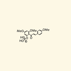 COc1ccc(C=CC(=O)c2c(OC)cc(OC)cc2OP(=O)(O)O)cc1